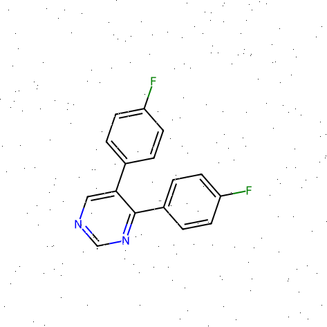 Fc1ccc(-c2cn[c]nc2-c2ccc(F)cc2)cc1